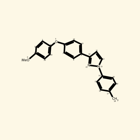 COc1ccc(Oc2ccc(-c3ccn(-c4ccc(C)cc4)n3)cc2)cc1